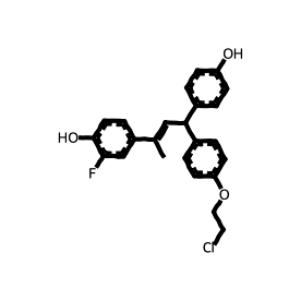 CC(=CC(c1ccc(O)cc1)c1ccc(OCCCl)cc1)c1ccc(O)c(F)c1